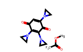 O=C([O][Hg])C(F)(F)F.O=C1C=C(N2CC2)C(=O)C(N2CC2)=C1N1CC1